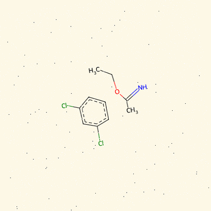 CCOC(C)=N.Clc1cccc(Cl)c1